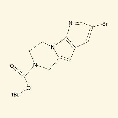 CC(C)(C)OC(=O)N1CCn2c(cc3cc(Br)cnc32)C1